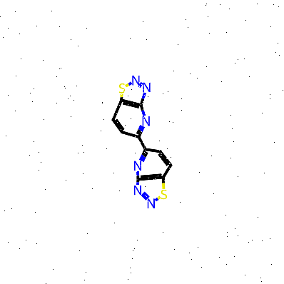 c1cc2snnc2nc1-c1ccc2snnc2n1